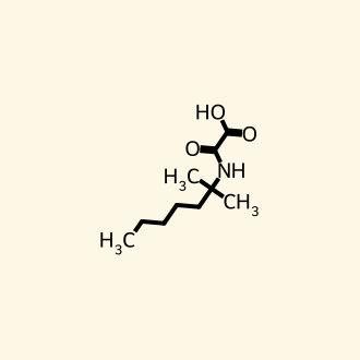 CCCCCC(C)(C)NC(=O)C(=O)O